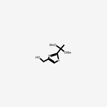 COC(C)(OC)c1nc(CO)cs1